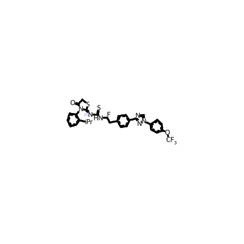 CC(C)c1ccccc1N1C(=O)CS/C1=N\C(=S)NC(F)Cc1ccc(-c2ncn(-c3ccc(OC(F)(F)F)cc3)n2)cc1